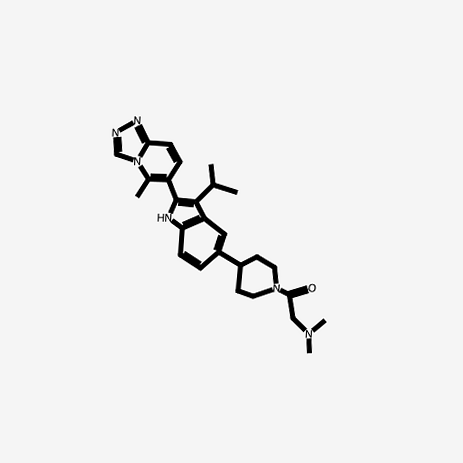 Cc1c(-c2[nH]c3ccc(C4CCN(C(=O)CN(C)C)CC4)cc3c2C(C)C)ccc2nncn12